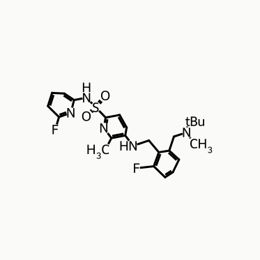 Cc1nc(S(=O)(=O)Nc2cccc(F)n2)ccc1NCc1c(F)cccc1CN(C)C(C)(C)C